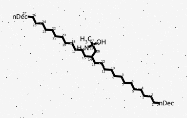 CCCCCCCCCCCCCCCCCCCCCCCC(CCCCCCCCCCCCCCCCCCCCCC)CC(C)(N)O